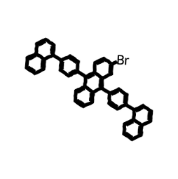 Brc1ccc2c(-c3ccc(-c4cccc5ccccc45)cc3)c3ccccc3c(-c3ccc(-c4cccc5ccccc45)cc3)c2c1